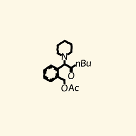 CCCCC(=O)C(c1ccccc1COC(C)=O)N1CCCCC1